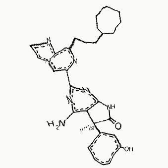 C[C@@]1(c2cccc(O)c2)C(=O)Nc2nc(-c3cn4ccnc4c(CCC4CCCCC4)n3)nc(N)c21